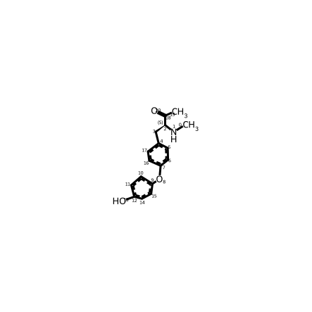 CN[C@@H](Cc1ccc(Oc2ccc(O)cc2)cc1)C(C)=O